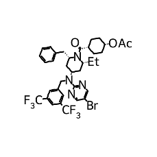 CC[C@@H]1C[C@H](N(Cc2cc(C(F)(F)F)cc(C(F)(F)F)c2)c2ncc(Br)cn2)C[C@H](Cc2ccccc2)N1C(=O)[C@H]1CC[C@@H](OC(C)=O)CC1